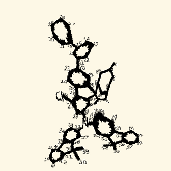 CC1CC2CC(C)C3(c4cc(-c5cccc(-c6ccccc6)c5)ccc4-c4c(Cl)cc(N(c5ccc6c(c5)C(C)(C)c5ccccc5-6)c5ccc6c(c5)C(C)(C)c5ccccc5-6)cc43)C(C1)C2